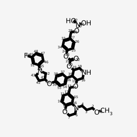 COCCCN1CCOc2ccc(COC3CNCC(OC(=O)Oc4ccc(CON(O)O)cc4)C3c3ccc(OC4CCN(c5cccc(F)c5)C4)cc3)cc21